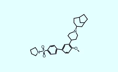 COc1ccc(-c2ccc(S(=O)(=O)N3CCCC3)cc2)cc1C1CCN(C2CCC3CCC(C3)C2)CC1